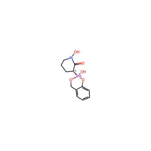 O=C1[C@@H]([PH]2(O)OCc3ccccc3O2)CCCN1O